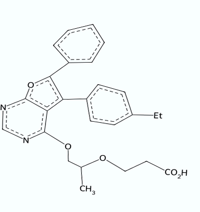 CCc1ccc(-c2c(-c3ccccc3)oc3ncnc(OCC(C)OCCC(=O)O)c23)cc1